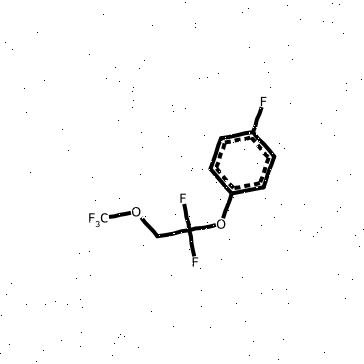 Fc1ccc(OC(F)(F)COC(F)(F)F)cc1